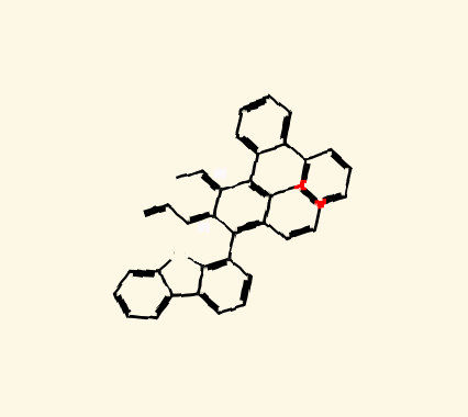 C=C/C=c1/c(-c2cccc3c2oc2ccccc23)c2ccccc2c(-c2ccccc2-c2ccccc2)/c1=C/C